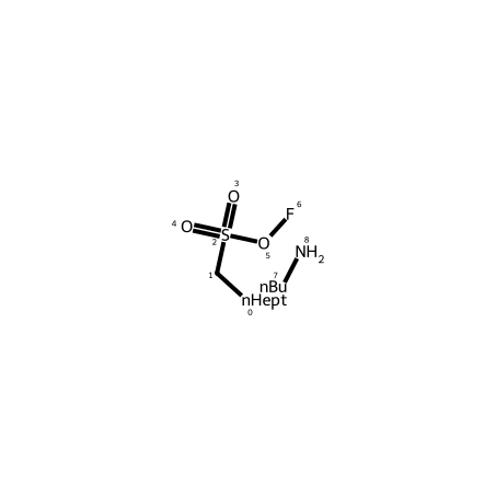 CCCCCCCCS(=O)(=O)OF.CCCCN